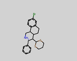 NCC1c2ccc(Br)cc2CCC1C(Cc1ccccc1)C1SCCCS1